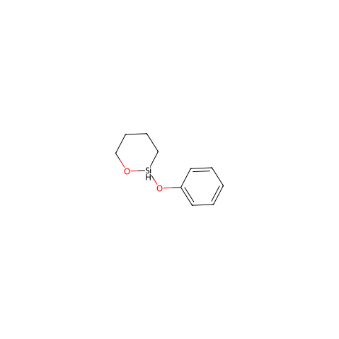 c1ccc(O[SiH]2CCCCO2)cc1